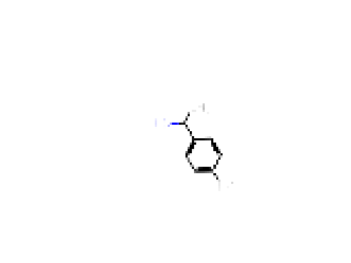 CC(N)c1ccc(N=O)cc1